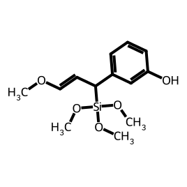 COC=CC(c1cccc(O)c1)[Si](OC)(OC)OC